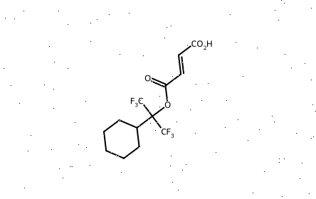 O=C(O)C=CC(=O)OC(C1CCCCC1)(C(F)(F)F)C(F)(F)F